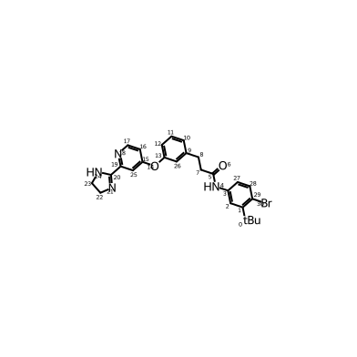 CC(C)(C)c1cc(NC(=O)CCc2cccc(Oc3ccnc(C4=NCCN4)c3)c2)ccc1Br